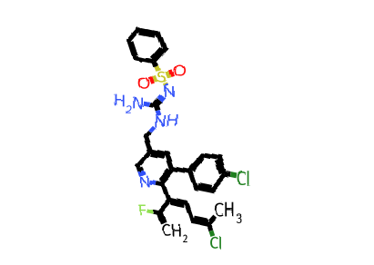 C=C(F)/C(=C\C=C(/C)Cl)c1ncc(CN/C(N)=N/S(=O)(=O)c2ccccc2)cc1-c1ccc(Cl)cc1